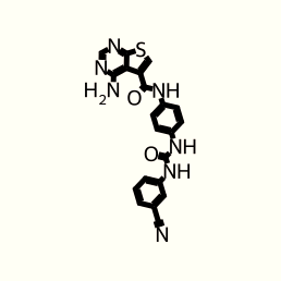 N#Cc1cccc(NC(=O)Nc2ccc(NC(=O)c3csc4ncnc(N)c34)cc2)c1